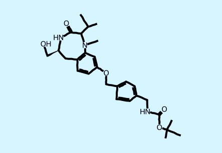 CC(C)C1C(=O)N[C@H](CO)Cc2ccc(OCc3ccc(CNC(=O)OC(C)(C)C)cc3)cc2N1C